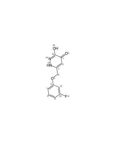 O=c1cc(COc2cccc(F)c2)[nH]nc1O